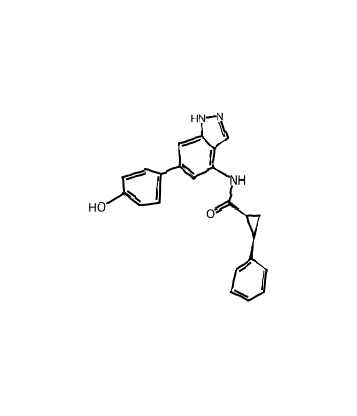 O=C(Nc1cc(-c2ccc(O)cc2)cc2[nH]ncc12)[C@H]1C[C@H]1c1ccccc1